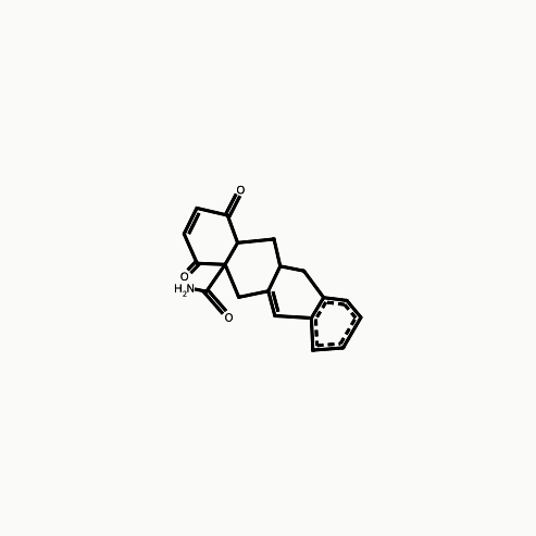 NC(=O)C12CC3=Cc4ccccc4CC3CC1C(=O)C=CC2=O